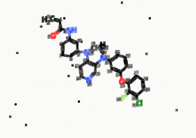 C=CC(=O)Nc1cccc(N(C=O)c2ccncc2N(C)c2cccc(Oc3cccc(Cl)c3F)c2)c1